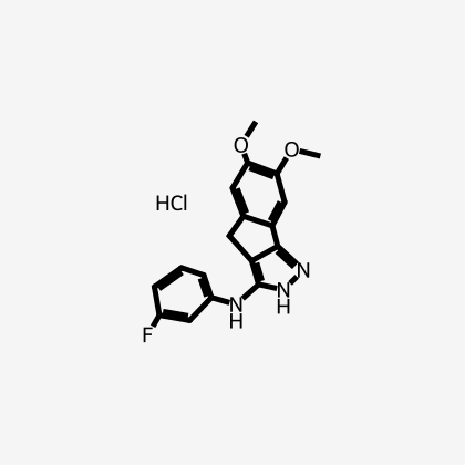 COc1cc2c(cc1OC)-c1n[nH]c(Nc3cccc(F)c3)c1C2.Cl